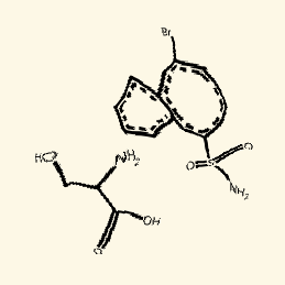 NC(CO)C(=O)O.NS(=O)(=O)c1ccc(Br)c2ccccc12